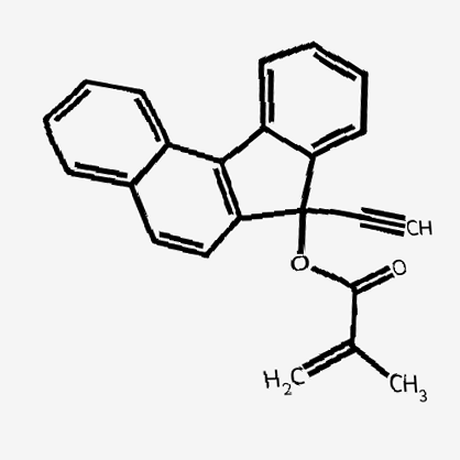 C#CC1(OC(=O)C(=C)C)c2ccccc2-c2c1ccc1ccccc21